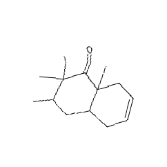 CC1CC2CC=CCC2(C)C(=O)C1(C)C